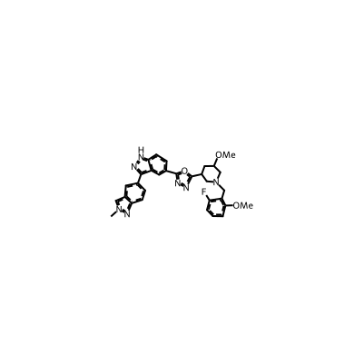 COc1cccc(F)c1CN1CC(OC)CC(c2nnc(-c3ccc4[nH]nc(-c5ccc6nn(C)cc6c5)c4c3)o2)C1